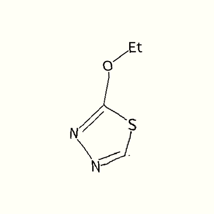 CCOc1nn[c]s1